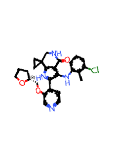 Cc1c(Cl)cccc1Nc1c(-c2ccncc2OC[C@H]2CCCO2)[nH]c2c1C(=O)NCC21CC1